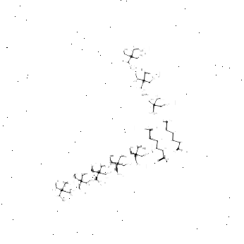 O=C(O)CCCCC(=O)O.O=C(O)CCCCC(=O)O.OCC(CO)(CO)CO.OCC(CO)(CO)CO.OCC(CO)(CO)CO.OCC(CO)(CO)CO.OCC(CO)(CO)CO.OCC(CO)(CO)CO.OCC(CO)(CO)CO.OCC(CO)(CO)CO